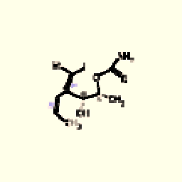 C/C=C\C(=C(\I)CC)[C@@H](O)[C@@H](C)OC(N)=O